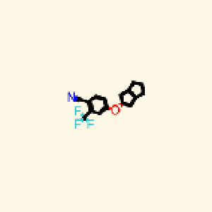 N#Cc1ccc(OC2CC3CCCC3C2)cc1C(F)(F)F